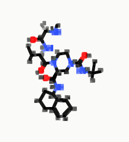 CN[C@@H](C)C(=O)N[C@H](C(=O)N1CCN(C(=O)NC(C)(C)C)C[C@H]1C(=O)NC1CCCc2ccccc21)C(C)C